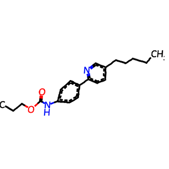 CCCCCc1ccc(-c2ccc(NC(=O)OCCC)cc2)nc1